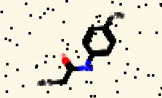 CO[CH]C(=O)Nc1ccc(OC)cc1